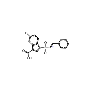 O=C(O)c1cn(S(=O)(=O)/C=C/c2ccccc2)c2ccc(F)cc12